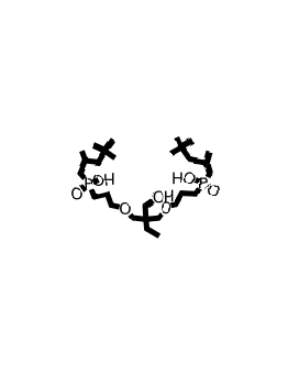 CCC(CO)(COCCCP(=O)(O)CC(C)CC(C)(C)C)COCCCP(=O)(O)CC(C)CC(C)(C)C